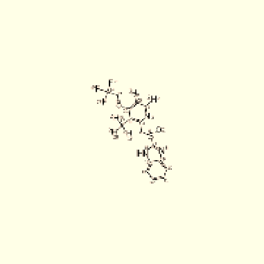 [2H]c1nc(C[S+]([O-])c2nc3ccccc3[nH]2)c(C([2H])([2H])[2H])c(OCC(F)(F)F)c1[2H]